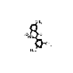 COc1ccc(C)cc1C(O)C(O)c1cc(C)cc(C)c1